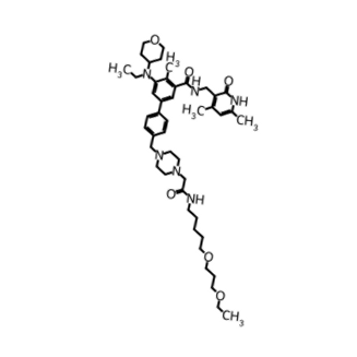 CCOCCCOCCCCCNC(=O)CN1CCN(Cc2ccc(-c3cc(C(=O)NCc4c(C)cc(C)[nH]c4=O)c(C)c(N(CC)C4CCOCC4)c3)cc2)CC1